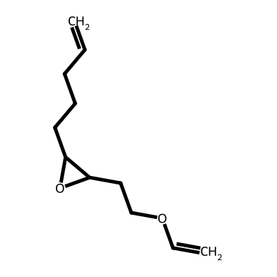 C=CCCCC1OC1CCOC=C